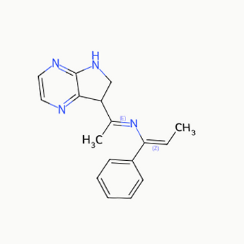 C/C=C(\N=C(/C)C1CNc2nccnc21)c1ccccc1